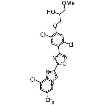 COCC(O)COc1cc(Cl)c(-c2noc(-c3cn4cc(C(F)(F)F)cc(Cl)c4n3)n2)cc1Cl